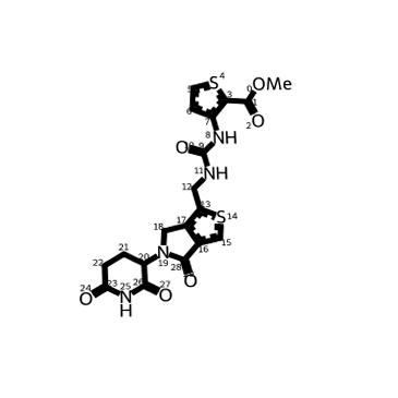 COC(=O)c1sccc1NC(=O)NCc1scc2c1CN(C1CCC(=O)NC1=O)C2=O